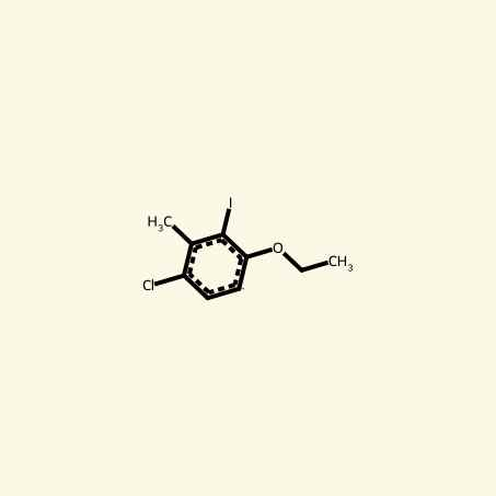 CCOc1[c]cc(Cl)c(C)c1I